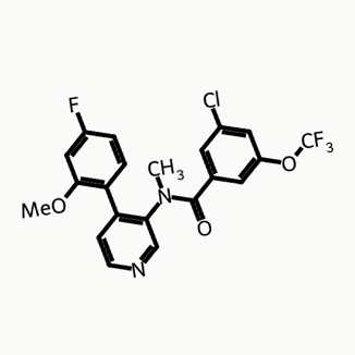 COc1cc(F)ccc1-c1ccncc1N(C)C(=O)c1cc(Cl)cc(OC(F)(F)F)c1